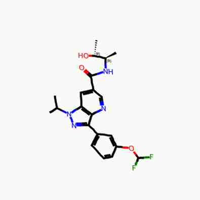 CC(C)n1nc(-c2cccc(OC(F)F)c2)c2ncc(C(=O)N[C@H](C)[C@@H](C)O)cc21